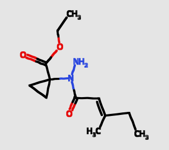 CCOC(=O)C1(N(N)C(=O)/C=C(\C)CC)CC1